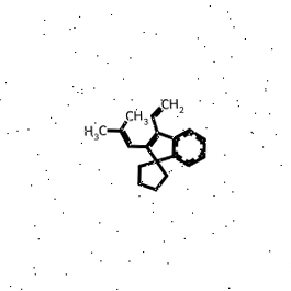 C=CC1=C(C=C(C)C)C2(CCCC2)c2ccccc21